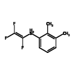 Cc1cccc([SiH2]C(F)=C(F)F)c1C